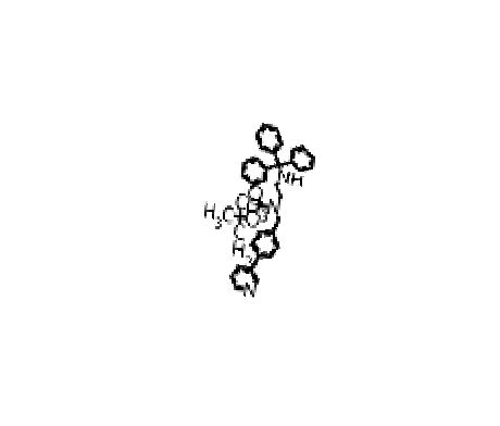 CC(C)(C)OC(=O)N(CCNC(c1ccccc1)(c1ccccc1)c1ccccc1)Cc1ccc(-c2cccnc2)cc1